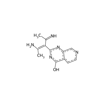 CC(=N)/C(=C(/C)N)c1nc(O)c2ccncc2n1